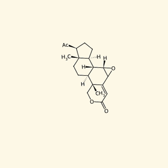 CC(=O)[C@H]1CC[C@H]2[C@@H]3[C@@H]4OC4C4=CC(=O)OC[C@]4(C)[C@H]3CC[C@]12C